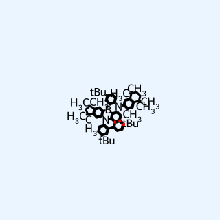 Cc1cc2c(cc1N1c3ccc(C(C)(C)C)cc3B3c4cc5c(cc4N(c4ccc(C(C)(C)C)cc4-c4ccccc4)c4cc(C(C)(C)C)cc1c43)C(C)(C)CC5(C)C)C(C)(C)CCC2(C)C